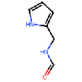 O=[C]NCc1ccc[nH]1